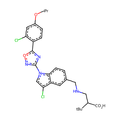 CC(C)Oc1ccc(-c2nc(-n3cc(Cl)c4cc(CNCC(C(=O)O)C(C)(C)C)ccc43)no2)c(Cl)c1